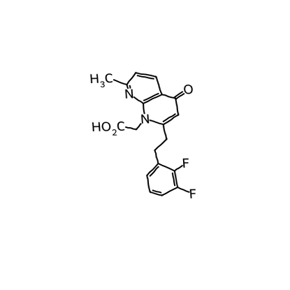 Cc1ccc2c(=O)cc(CCc3cccc(F)c3F)n(CC(=O)O)c2n1